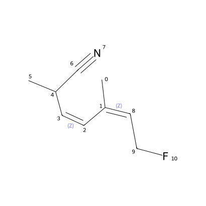 CC(/C=C\C(C)C#N)=C/CF